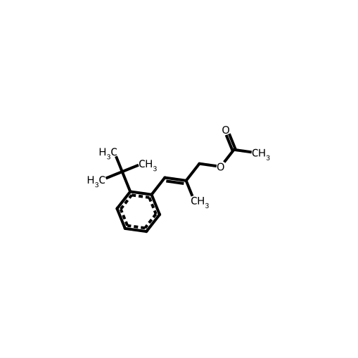 CC(=O)OC/C(C)=C/c1ccccc1C(C)(C)C